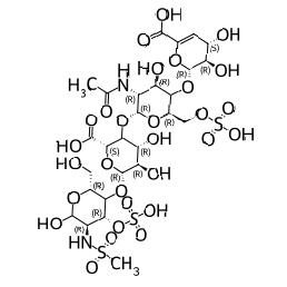 CC(=O)N[C@H]1[C@@H](OC2[C@@H](C(=O)O)O[C@@H](OC3[C@@H](CO)OC(O)[C@H](NS(C)(=O)=O)[C@H]3OS(=O)(=O)O)[C@H](O)[C@H]2O)O[C@H](COS(=O)(=O)O)C(O[C@@H]2OC(C(=O)O)=C[C@H](O)[C@H]2O)[C@@H]1O